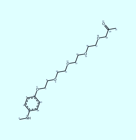 CNc1ccc(OCCOCCOCCOCCOCC(C)=O)cc1